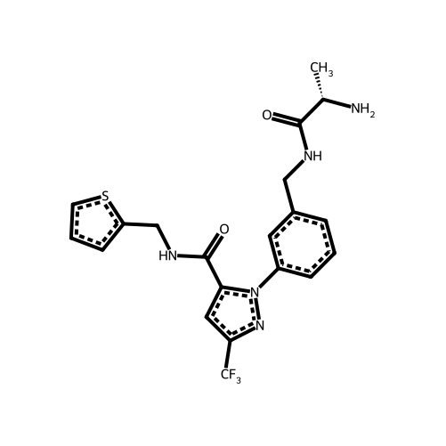 C[C@H](N)C(=O)NCc1cccc(-n2nc(C(F)(F)F)cc2C(=O)NCc2cccs2)c1